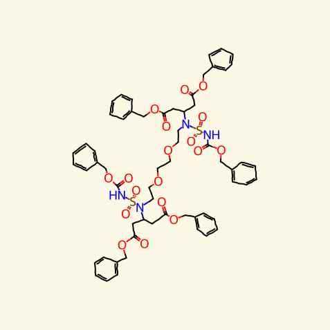 O=C(CC(CC(=O)OCc1ccccc1)N(CCOCCOCCN(C(CC(=O)OCc1ccccc1)CC(=O)OCc1ccccc1)S(=O)(=O)NC(=O)OCc1ccccc1)S(=O)(=O)NC(=O)OCc1ccccc1)OCc1ccccc1